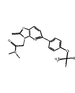 BC(B)(F)Oc1ccc(-c2ccc3c(n2)N(CC(=O)N(C)C)C(=C)O3)cc1